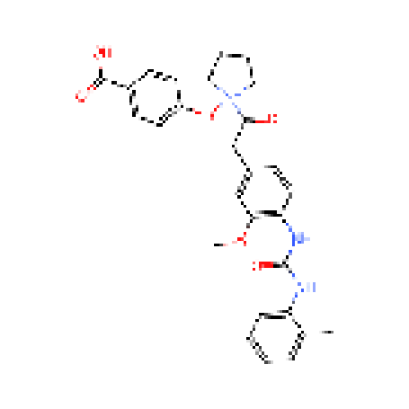 COc1cc(CC(=O)[N+]2(Oc3ccc(C(=O)O)cc3)CCCC2)ccc1NC(=O)Nc1ccccc1C